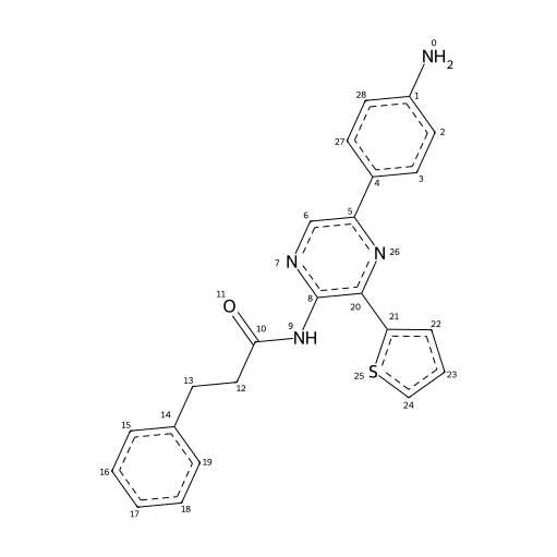 Nc1ccc(-c2cnc(NC(=O)CCc3ccccc3)c(-c3cccs3)n2)cc1